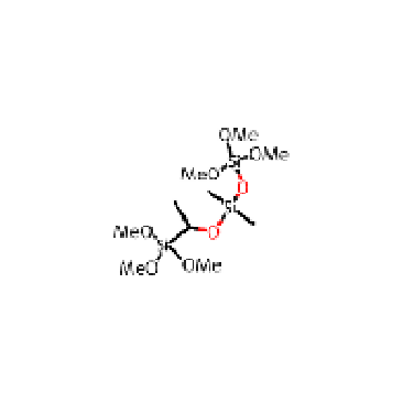 CO[Si](OC)(OC)O[Si](C)(C)OC(C)[Si](OC)(OC)OC